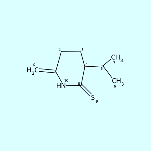 C=C1CCC(C(C)C)C(=S)N1